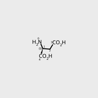 N[C@@H](C[13C](=O)O)[13C](=O)O